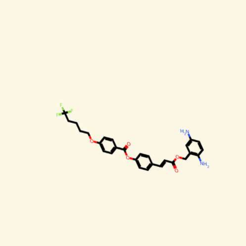 Nc1ccc(N)c(COC(=O)/C=C/c2ccc(OC(=O)c3ccc(OCCCCC(F)(F)F)cc3)cc2)c1